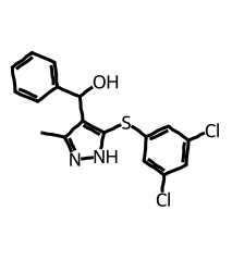 Cc1n[nH]c(Sc2cc(Cl)cc(Cl)c2)c1C(O)c1ccccc1